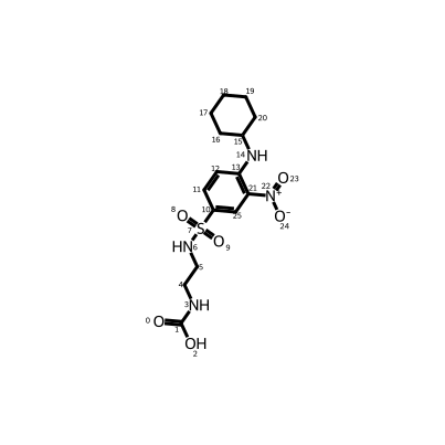 O=C(O)NCCNS(=O)(=O)c1ccc(NC2CCCCC2)c([N+](=O)[O-])c1